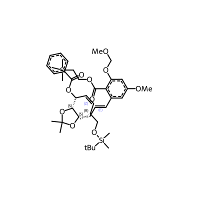 COCOc1cc(OC)cc(/C=C/C[C@@H]2OC(C)(C)O[C@@H]2C(/C=C\[C@@H](C)CO[Si](C)(C)C(C)(C)C)OC(=O)c2ccccc2)c1C(=O)OCC[Si](C)(C)C